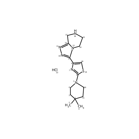 CC1(C)CCN(c2nc(-c3nnc4n3CCNC4)cs2)CC1.Cl